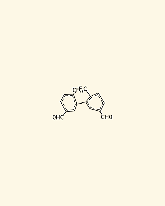 O=Cc1ccc(C(F)(F)F)c(-c2cc(C=O)ccc2C(F)(F)F)c1